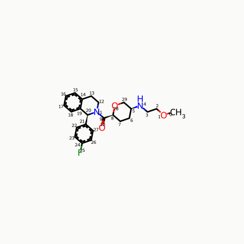 COCCN[C@H]1CC[C@@H](C(=O)N2CCc3ccccc3[C@@H]2c2ccc(F)cc2)OC1